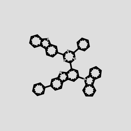 c1ccc(-c2ccc3c(c2)oc2c(-c4nc(-c5ccccc5)nc(-c5ccc6c(c5)sc5ccccc56)n4)cc(-n4c5ccccc5c5ccccc54)cc23)cc1